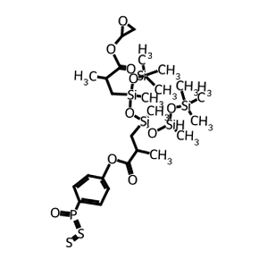 CC(C[Si](C)(O[SiH](C)O[Si](C)(C)C)O[Si](C)(CC(C)C(=O)OC1CO1)O[Si](C)(C)C)C(=O)Oc1ccc(P(=O)=S=S)cc1